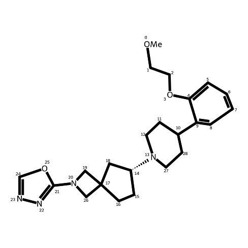 COCCOc1ccccc1C1CCN([C@@H]2CCC3(C2)CN(c2nnco2)C3)CC1